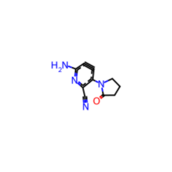 N#Cc1nc(N)c#cc1N1CCCC1=O